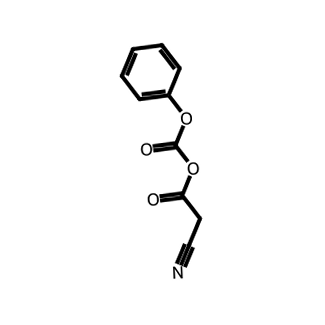 N#CCC(=O)OC(=O)Oc1ccccc1